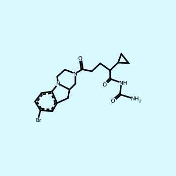 NC(=O)NC(=O)C(CCC(=O)N1CCN2c3ccc(Br)cc3CC2C1)C1CC1